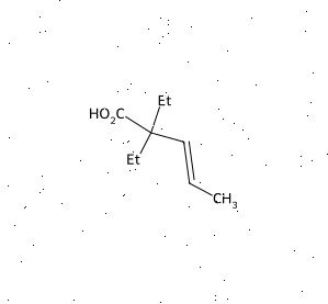 CC=CC(CC)(CC)C(=O)O